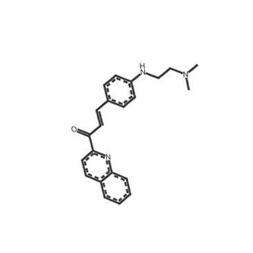 CN(C)CCNc1ccc(/C=C/C(=O)c2ccc3ccccc3n2)cc1